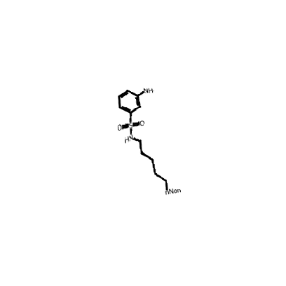 CCCCCCCCCCCCCCNS(=O)(=O)c1cccc([NH])c1